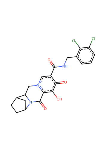 O=C(NCc1cccc(Cl)c1Cl)c1cn2c(c(O)c1=O)C(=O)N1C3CCC(C3)C1C2